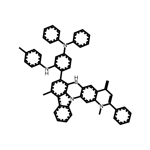 C=C1C=C(c2ccccc2)N(C)c2cc3c(cc21)Bc1c(-c2ccc(N(c4ccccc4)c4ccccc4)cc2Nc2ccc(C)cc2)cc(C)c2c4ccccc4n-3c12